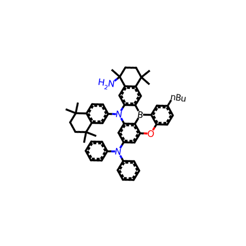 CCCCc1ccc2c(c1)B1c3cc4c(cc3N(c3ccc5c(c3)C(C)(C)CCC5(C)C)c3cc(N(c5ccccc5)c5ccccc5)cc(c31)O2)C(C)(N)CCC4(C)C